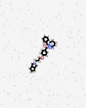 O=C(N[N+]1(Cc2ccccc2)CCCCC1)c1ccc(OCCCN2CC3CCCC3C2)cc1